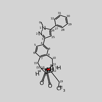 Cn1nc(-c2ccc3c(c2)C[C@H]2CC[C@@H](C3)[C@]23CN(CC(F)(F)F)S(=O)(=O)N3)cc1-c1ccccc1